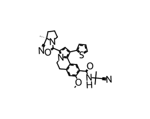 COc1cc2c(cc1C(=O)NC(C)(C)C#N)-c1c(-c3cccs3)cc(C(=O)N3CCC[C@]3(C)C#N)n1CC2